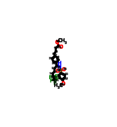 COC(=O)CCCc1ccc(C(CCCC(F)(F)C(F)(F)F)NS(=O)(=O)c2ccc(OC)cc2)cc1